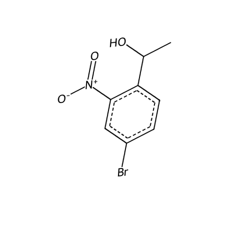 CC(O)c1ccc(Br)cc1[N+](=O)[O-]